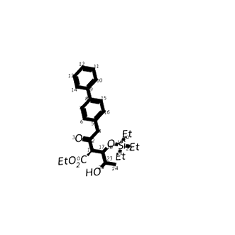 CCOC(=O)[C@@H](C(=O)Cc1ccc(-c2ccccc2)cc1)C(O[Si](CC)(CC)CC)C(C)O